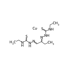 CCNC(=S)NN=CC(CC)=NNC(=S)NCC.[Cu]